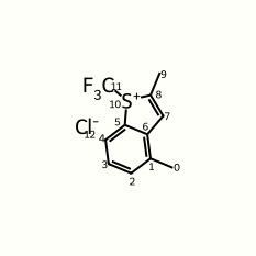 Cc1cccc2c1cc(C)[s+]2C(F)(F)F.[Cl-]